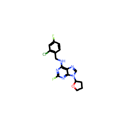 Fc1ccc(CNc2nc(F)nc3c2ncn3C2CCCO2)c(Cl)c1